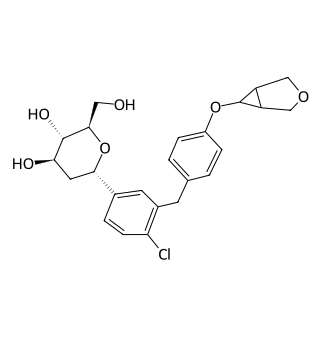 OC[C@H]1O[C@H](c2ccc(Cl)c(Cc3ccc(OC4C5COCC54)cc3)c2)C[C@@H](O)[C@@H]1O